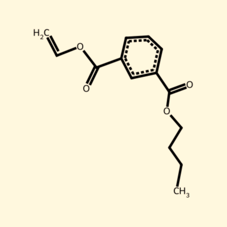 C=COC(=O)c1cccc(C(=O)OCCCC)c1